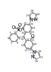 O=S(=O)([O-])c1ccccc1-c1c2cc/c(=[N+]3/C=CC=N3)cc-2oc2cc(-n3cccn3)ccc12